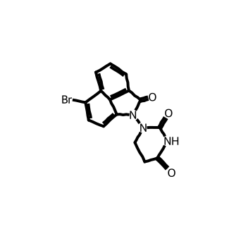 O=C1CCN(N2C(=O)c3cccc4c(Br)ccc2c34)C(=O)N1